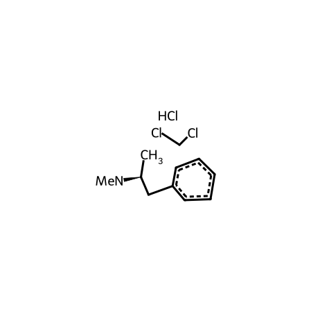 CN[C@@H](C)Cc1ccccc1.Cl.ClCCl